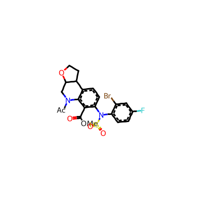 COC(=O)c1c(N(c2ccc(F)cc2Br)[SH](=O)=O)ccc2c1N(C(C)=O)CC1OCCC21